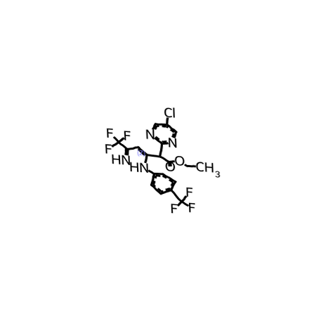 CCOC(=O)C(/C(=C/C(=N)C(F)(F)F)Nc1ccc(C(F)(F)F)cc1)c1ncc(Cl)cn1